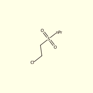 [CH2]CCS(=O)(=O)CCCl